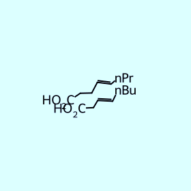 CCC/C=C/CCC(=O)O.CCCC/C=C/CC(=O)O